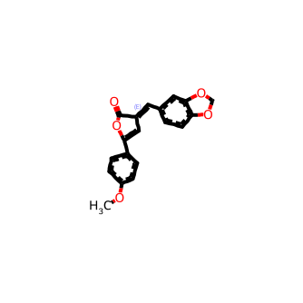 COc1ccc(C2=C/C(=C\c3ccc4c(c3)OCO4)C(=O)O2)cc1